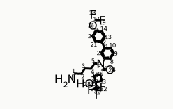 NCCCCCN(c1cccc(-c2ccc(OC(F)F)cc2)c1)C(=O)[C@H]1C[C@](O)(C(F)(F)F)C1